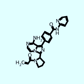 C=CC(=O)N1CCCC1c1nc(-c2ccc(C(=O)Nc3ccccn3)cc2)c2c(N)nccn12